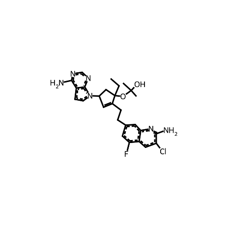 CCC1(OC(C)(C)O)CC(n2ccc3c(N)ncnc32)C=C1CCc1cc(F)c2cc(Cl)c(N)nc2c1